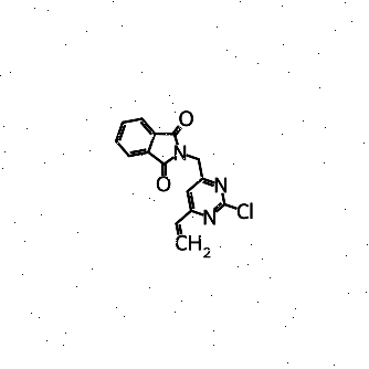 C=Cc1cc(CN2C(=O)c3ccccc3C2=O)nc(Cl)n1